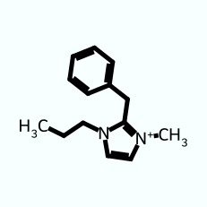 CCCn1cc[n+](C)c1Cc1ccccc1